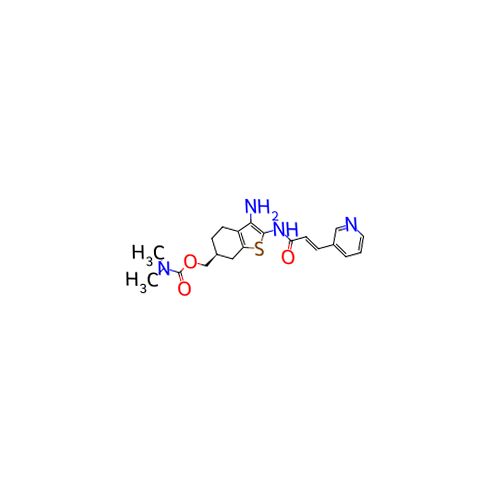 CN(C)C(=O)OC[C@H]1CCc2c(sc(NC(=O)/C=C/c3cccnc3)c2N)C1